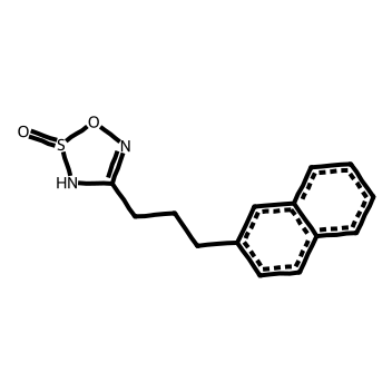 O=S1NC(CCCc2ccc3ccccc3c2)=NO1